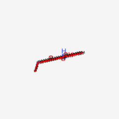 CCCCCCCC/C=C\CCCCCCCCCCCC(=O)CCCCCCCCCCC(=O)NC[C@@H](O)CCCCCCCCCCCCCCCC